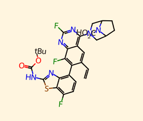 C=Cc1cc2c(N3CC4CCC(C3)N4C(=O)O)nc(F)nc2c(F)c1-c1ccc(F)c2sc(NC(=O)OC(C)(C)C)nc12